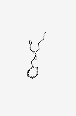 [CH2]CCCN(C=O)OCc1ccccc1